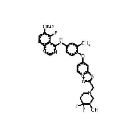 COc1ccc2ncnc(Nc3ccc(Oc4ccn5nc(CN6CCC(F)(F)C(O)C6)nc5c4)c(C)c3)c2c1F